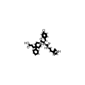 O=C(O)CCC1(C2CCCCC2)CCN(C(=O)[C@@H](Cc2ccc(Cl)cc2)NC(=S)NCCc2c[nH]cn2)CC1